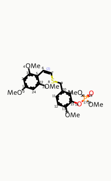 COc1cc(OC)c(/C=C\SCc2ccc(OC)c(OP(=O)(OC)OC)c2)c(OC)c1